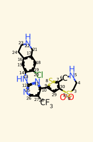 O=S1(=O)CCNCc2sc(-c3nc(Nc4cc5c(cc4Cl)CNCC5)ncc3C(F)(F)F)cc21